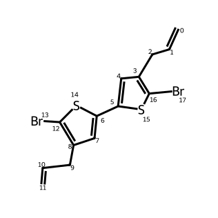 C=CCc1cc(-c2cc(CC=C)c(Br)s2)sc1Br